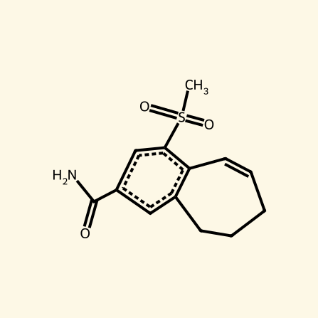 CS(=O)(=O)c1cc(C(N)=O)cc2c1C=CCCC2